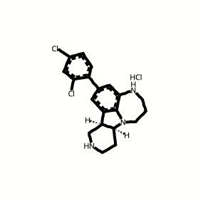 Cl.Clc1ccc(-c2cc3c4c(c2)[C@@H]2CNCC[C@@H]2N4CCCN3)c(Cl)c1